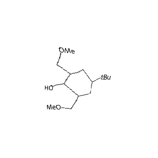 COCC1CC(C(C)(C)C)CC(COC)C1O